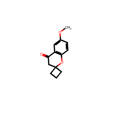 COc1ccc2c(c1)C(=O)CC1(CCC1)O2